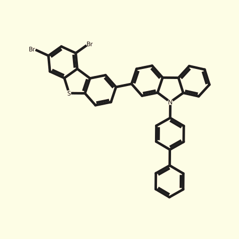 Brc1cc(Br)c2c(c1)sc1ccc(-c3ccc4c5ccccc5n(-c5ccc(-c6ccccc6)cc5)c4c3)cc12